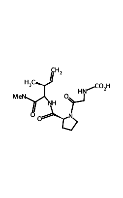 C=C[C@H](C)C(NC(=O)[C@@H]1CCCN1C(=O)CNC(=O)O)C(=O)NC